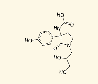 O=C(O)NC1(c2ccc(O)cc2)CCN(CC(O)CO)C1=O